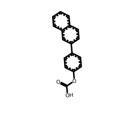 O=C(O)Oc1ccc(-c2ccc3ccccc3c2)cc1